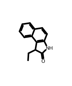 CCC1C(=O)Nc2ccc3ccccc3c21